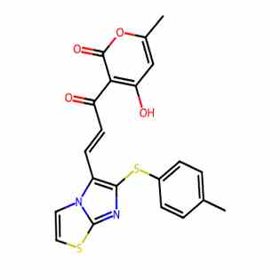 Cc1ccc(Sc2nc3sccn3c2C=CC(=O)c2c(O)cc(C)oc2=O)cc1